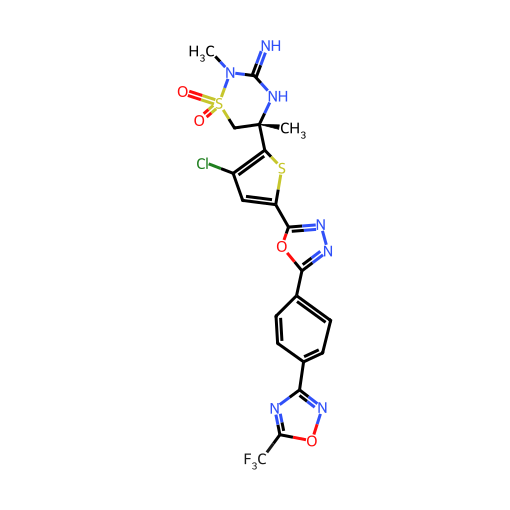 CN1C(=N)N[C@](C)(c2sc(-c3nnc(-c4ccc(-c5noc(C(F)(F)F)n5)cc4)o3)cc2Cl)CS1(=O)=O